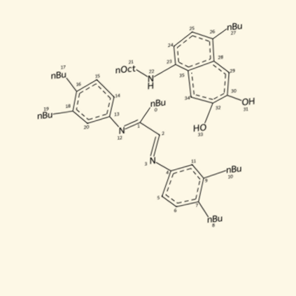 CCCCC(C=Nc1ccc(CCCC)c(CCCC)c1)=Nc1ccc(CCCC)c(CCCC)c1.CCCCCCCCNc1ccc(CCCC)c2cc(O)c(O)cc12